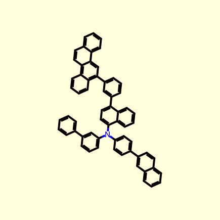 c1ccc(-c2cccc(N(c3ccc(-c4ccc5ccccc5c4)cc3)c3ccc(-c4cccc(-c5cc6c7ccccc7ccc6c6ccccc56)c4)c4ccccc34)c2)cc1